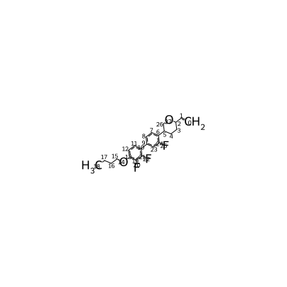 C=CC1CCC(c2ccc(-c3ccc(OCCCC)c(F)c3F)cc2F)CO1